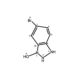 ON1NNc2ccc(Br)cc21